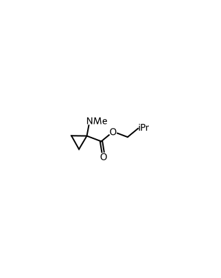 CNC1(C(=O)OCC(C)C)CC1